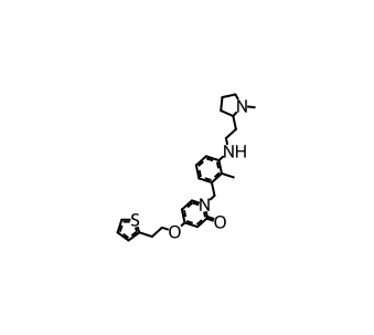 Cc1c(Cn2ccc(OCCc3cccs3)cc2=O)cccc1NCCC1CCCN1C